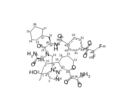 CC(C)(O)c1cnnn1C1(C2CCCOC(C(=O)C(N)=O)C2)C[C@@H](C(N)=O)N(C(=O)[C@@H](CC2CCCCC2)NC(=O)c2ccc(S(=O)(=O)C(F)F)cc2)C1